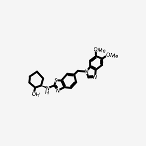 COc1cc2ncn(Cc3ccc4nc(N[C@@H]5CCCCC5O)sc4c3)c2cc1OC